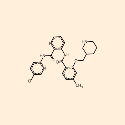 Cc1ccc(C(=O)Nc2cccnc2C(=O)Nc2ccc(Cl)cn2)c(OCC2CCCNC2)c1